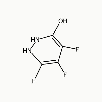 OC1=C(F)C(F)=C(F)NN1